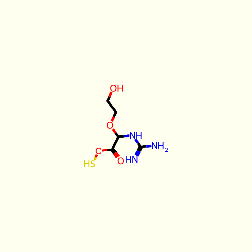 N=C(N)NC(OCCO)C(=O)OS